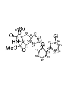 COC(=O)C1(NC(=O)OC(C)(C)C)CCc2ccc(Oc3ccccc3-c3cccc(Cl)c3)cc2C1